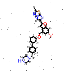 COc1cc(COc2cccc(-c3ccc(CN4CCNCC4)cc3)c2)c2cc(-c3cn4nc(C)sc4n3)oc2c1